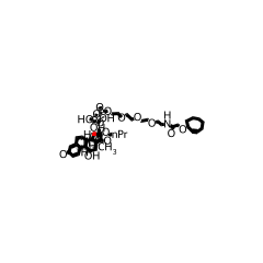 CCCC1O[C@@H]2C[C@H]3[C@@H]4CCC5=CC(=O)C=C[C@]5(C)[C@H]4[C@@H](O)C[C@]3(C)[C@]2(C(=O)COP(=O)(O)OP(=O)(O)OCCOCCOCCOCCNC(=O)COC2C#CCCCCC2)O1